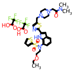 CCOCCN(c1cccc2cc(-c3ncc(CN4CCN(CC(=O)N(C)C)CC4)s3)[nH]c12)S(=O)(=O)c1cccs1.O=C(O)C(F)(F)F.O=C(O)C(F)(F)F